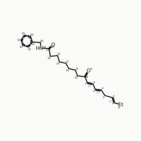 CC/C=C/C/C=C/C=C/C(=O)CCCCCCCC(=O)NCc1ccccc1